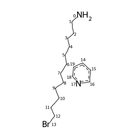 NCCCCCCCCCCCCBr.c1ccncc1